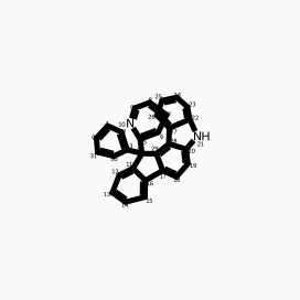 c1ccc(C2(c3ccccn3)c3ccccc3-c3ccc4[nH]c5ccccc5c4c32)cc1